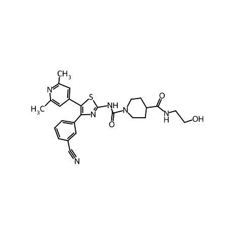 Cc1cc(-c2sc(NC(=O)N3CCC(C(=O)NCCO)CC3)nc2-c2cccc(C#N)c2)cc(C)n1